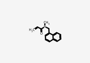 C=CC(=O)N(C)Cc1cccc2ccccc12